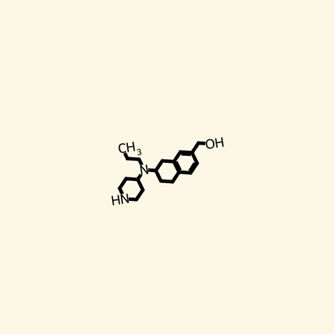 CCCN(C1CCNCC1)C1CCc2ccc(CO)cc2C1